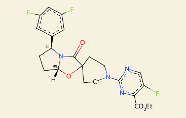 CCOC(=O)c1nc(N2CCC3(CC2)O[C@@H]2CC[C@@H](c4cc(F)cc(F)c4)N2C3=O)ncc1F